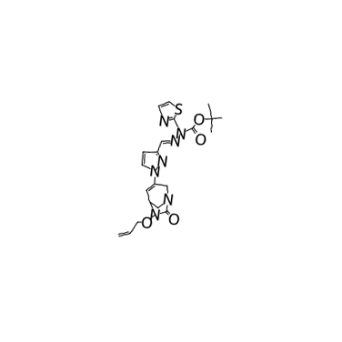 C=CCON1C(=O)N2CC(n3ccc(C=NN(C(=O)OC(C)(C)C)c4nccs4)n3)=CC1C2